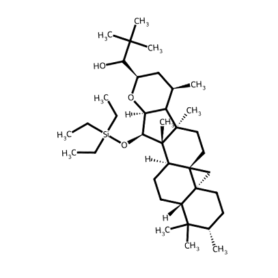 CC[Si](CC)(CC)O[C@H]1[C@H]2O[C@@H](C(O)C(C)(C)C)C[C@@H](C)C2[C@@]2(C)CC[C@@]34C[C@@]35CC[C@H](C)C(C)(C)[C@@H]5CC[C@H]4[C@]12C